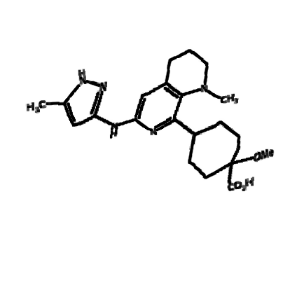 COC1(C(=O)O)CCC(c2nc(Nc3cc(C)[nH]n3)cc3c2N(C)CCC3)CC1